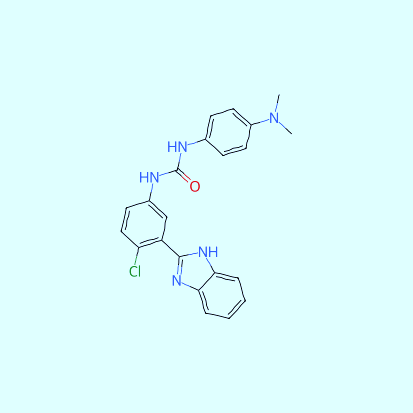 CN(C)c1ccc(NC(=O)Nc2ccc(Cl)c(-c3nc4ccccc4[nH]3)c2)cc1